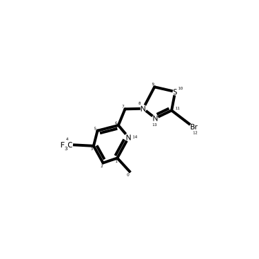 Cc1cc(C(F)(F)F)cc(CN2CSC(Br)=N2)n1